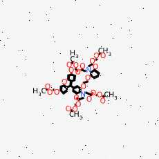 CC(=O)OCOC(=O)CN(CC(=O)OCOC(C)=O)c1ccc(-c2c3ccc(=O)cc-3oc3cc(OCOC(C)=O)ccc23)cc1OCCOC1C=CC=CC1N(CC(=O)OCOC(C)=O)CC(=O)OCOC(C)=O